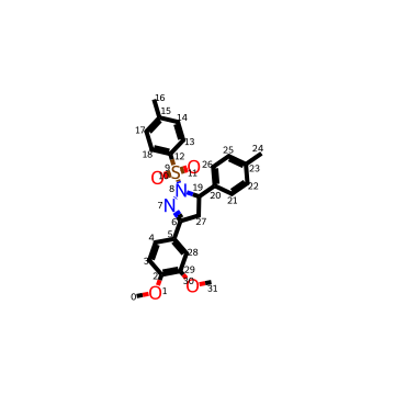 COc1ccc(C2=NN(S(=O)(=O)c3ccc(C)cc3)C(c3ccc(C)cc3)C2)cc1OC